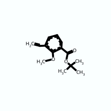 C=Cc1cccc(C(=O)OC(C)(C)C)c1OC